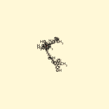 CC/C(=C(\c1ccc(O)cc1)c1ccc(OCCNC(=O)CCCCCCC(=O)N[C@H](C(C)N2C[C@H](O)C[C@H]2C(=O)NCc2ccc(-c3scnc3C)cc2)C(C)(C)C)cc1)c1ccccc1